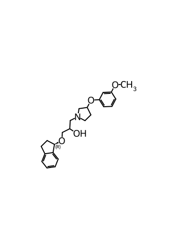 COc1cccc(OC2CCN(CC(O)CO[C@@H]3CCc4ccccc43)C2)c1